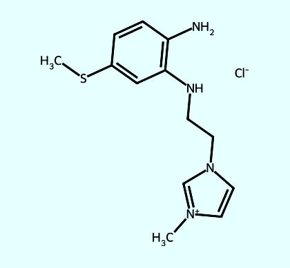 CSc1ccc(N)c(NCCn2cc[n+](C)c2)c1.[Cl-]